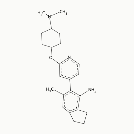 Cc1cc2c(c(N)c1-c1ccnc(OC3CCC(N(C)C)CC3)c1)CCC2